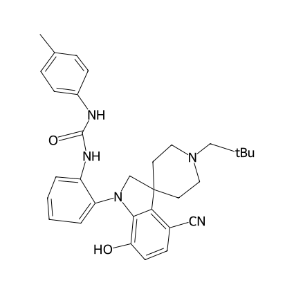 Cc1ccc(NC(=O)Nc2ccccc2N2CC3(CCN(CC(C)(C)C)CC3)c3c(C#N)ccc(O)c32)cc1